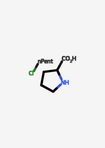 CCCCCCl.O=C(O)C1CCCN1